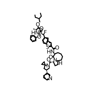 CCC(CC)COC(=O)[C@H](C)NP(=O)(Oc1ccccc1)[C@@H](F)c1ccc2sc(C(=O)N[C@H]3CCCC[C@H]4CC[C@@H](C(=O)N5C[C@@H](c6cccnc6)CC56CC6)N4C3=O)cc2c1